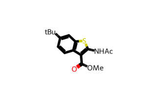 COC(=O)c1c(NC(C)=O)sc2cc(C(C)(C)C)ccc12